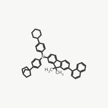 CC1(C)c2cc(-c3cccc4ccccc34)ccc2-c2ccc(N(c3ccc(C4CCCCC4)cc3)c3ccc(C45CCC(CC4)C5)cc3)cc21